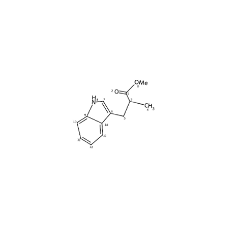 COC(=O)C(C)Cc1c[nH]c2ccccc12